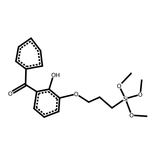 CO[Si](CCCOc1cccc(C(=O)c2ccccc2)c1O)(OC)OC